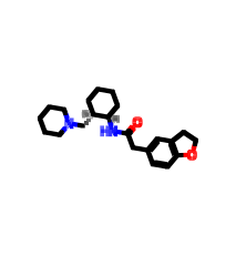 O=C(Cc1ccc2c(c1)CCO2)N[C@@H]1CCCC[C@H]1CN1CCCCC1